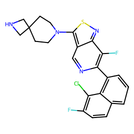 Fc1ccc2cccc(-c3ncc4c(N5CCC6(CC5)CNC6)snc4c3F)c2c1Cl